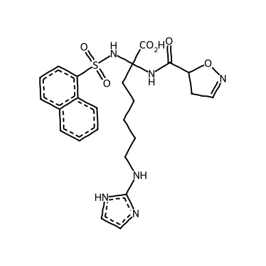 O=C(NC(CCCCCNc1ncc[nH]1)(NS(=O)(=O)c1cccc2ccccc12)C(=O)O)C1CC=NO1